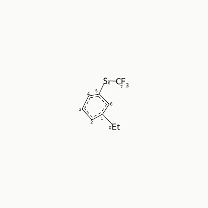 [CH2]Cc1cccc(SC(F)(F)F)c1